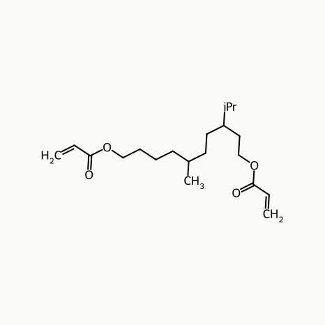 C=CC(=O)OCCCCC(C)CCC(CCOC(=O)C=C)C(C)C